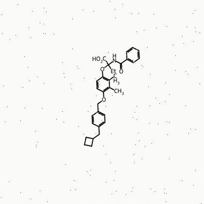 CCC(NC(=O)c1ccccc1)(Oc1ccc(OCc2ccc(CC3CCC3)cc2)c(C)c1C)C(=O)O